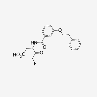 O=C(O)CC(NC(=O)c1cccc(OCCc2ccccc2)c1)C(=O)CF